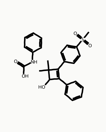 CC1(C)C(c2ccc(S(C)(=O)=O)cc2)=C(c2ccccc2)C1O.O=C(O)Nc1ccccc1